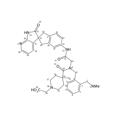 CNCc1ccccc1CN(CC(=O)Nc1ccc2c(c1)CC1(C2)C(=O)Nc2ncccc21)C(=O)C1(C)CCN(CC(=O)O)CC1